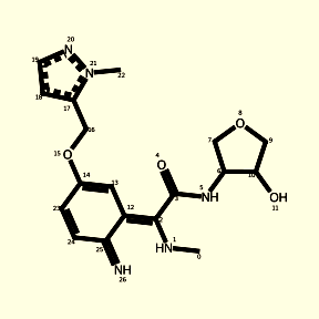 CN/C(C(=O)NC1COCC1O)=C1/C=C(OCc2ccnn2C)C=CC1=N